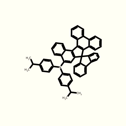 CC(C)c1ccc(N(c2ccc(C(C)C)cc2)c2cc3c(c4ccccc24)-c2c(c4ccccc4c4ccccc24)C32c3ccccc3-c3ccccc32)cc1